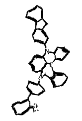 CCc1ccccc1-c1ccc(N2c3ccccc3B3c4ccccc4N(c4ccc5c(c4)Cc4ccccc4-5)c4cccc2c43)cc1